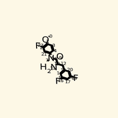 COc1ccc(N(C)C(=O)C(N)Cc2cc(F)cc(F)c2)cc1F